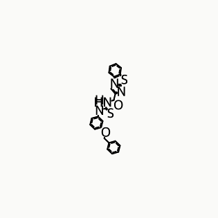 O=C(NC(=S)Nc1cccc(OCc2ccccc2)c1)c1cn2c(n1)sc1ccccc12